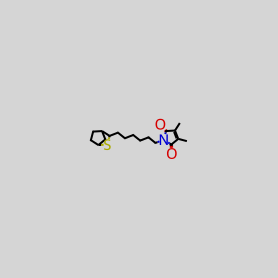 CC1=C(C)C(=O)N(CCCCCCC2SC3CCC2C3)C1=O